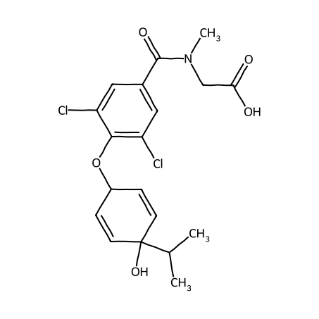 CC(C)C1(O)C=CC(Oc2c(Cl)cc(C(=O)N(C)CC(=O)O)cc2Cl)C=C1